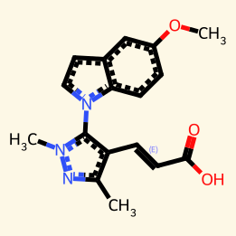 COc1ccc2c(ccn2-c2c(/C=C/C(=O)O)c(C)nn2C)c1